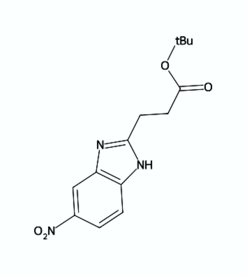 CC(C)(C)OC(=O)CCc1nc2cc([N+](=O)[O-])ccc2[nH]1